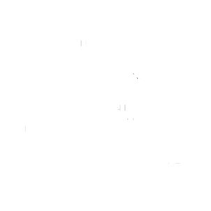 CCCCO[BH-](OCCCC)OCCCC.[Na+]